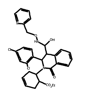 CCOC(=O)C1CC=CCC1N1C(=O)c2ccccc2C(C(O)NOCc2ccccn2)C1c1ccc(Cl)cc1Cl